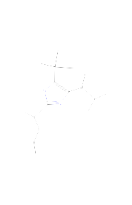 CCCC(C)c1nc(C(C)C(C)C)c(C(C)(C)C)[nH]1